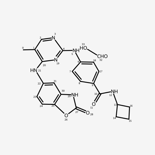 Cc1cnc(Nc2ccc(C(=O)NC3CCC3)cc2)nc1Nc1ccc2oc(=O)[nH]c2c1.O=CO